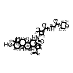 C=C(C)[C@@H]1CC[C@]2(C(=O)NC3CC(C(=O)NCCC(=O)N4CCOCC4)C3(C)C)CC[C@]3(C)[C@H](CC[C@@H]4[C@@]5(C)CC[C@H](O)C(C)(C)[C@@H]5CC[C@]43C)[C@@H]12